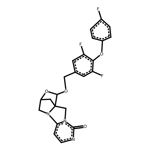 O=c1nccc2n1CC13CC(CN21)OC3OCc1cc(F)c(Oc2ccc(F)cc2)c(F)c1